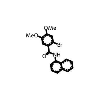 COc1cc(Br)c(C(=O)Nc2cccc3ccccc23)cc1OC